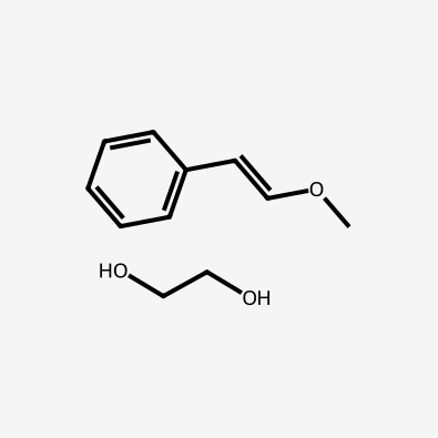 COC=Cc1ccccc1.OCCO